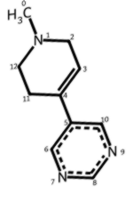 CN1CC=C(c2cncnc2)CC1